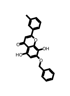 Cc1cccc(-c2cc(=O)c3c(O)cc(OCc4ccccc4)c(O)c3o2)c1